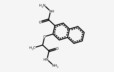 CC(Oc1cc2ccccc2cc1C(=O)NN)C(=O)NN